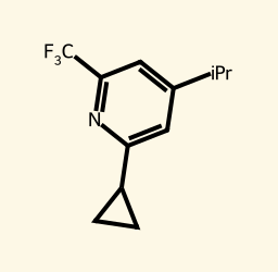 CC(C)c1cc(C2CC2)nc(C(F)(F)F)c1